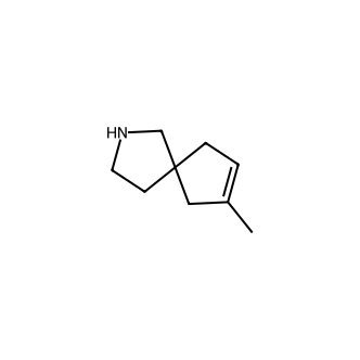 CC1=CCC2(CCNC2)C1